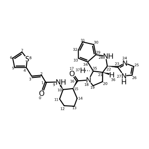 O=C(/C=C/c1cccs1)N[C@@H]1CCCC[C@@H]1C(=O)N1CC[C@H]2[C@H](c3ncc[nH]3)Nc3ccccc3[C@@H]21